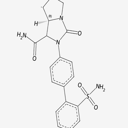 NC(=O)C1[C@H]2[CH]CCN2C(=O)N1c1ccc(-c2ccccc2S(N)(=O)=O)cc1